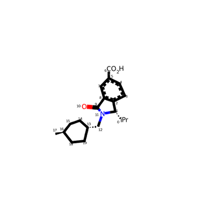 CC(C)[C@H]1c2ccc(C(=O)O)cc2C(=O)N1C[C@H]1CC[C@H](C)CC1